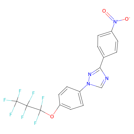 O=[N+]([O-])c1ccc(-c2ncn(-c3ccc(OC(F)(F)C(F)(F)C(F)(F)F)cc3)n2)cc1